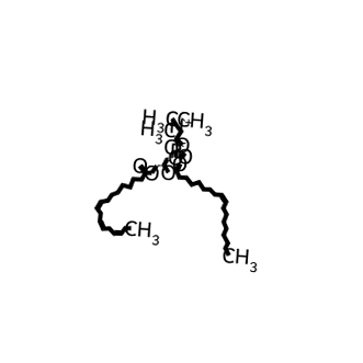 CC/C=C\C/C=C\C/C=C\CCCCCCCC(=O)OC[C@H](COP(=O)([O-])OCC[N+](C)(C)C)OC(=O)CCCCCCC/C=C\CCCCCCCC